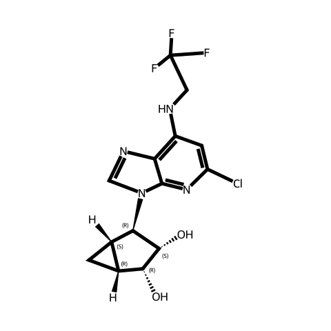 O[C@@H]1[C@H](O)[C@@H]2C[C@@H]2[C@H]1n1cnc2c(NCC(F)(F)F)cc(Cl)nc21